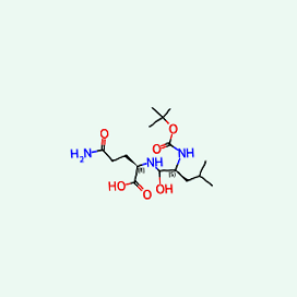 CC(C)C[C@H](NC(=O)OC(C)(C)C)C(O)N[C@H](CCC(N)=O)C(=O)O